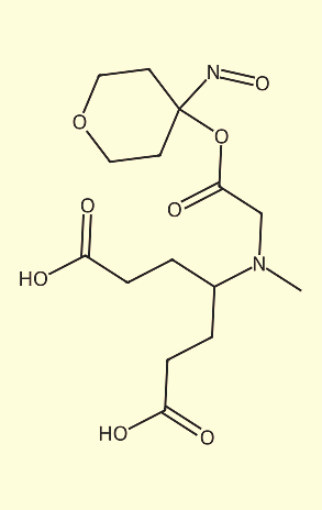 CN(CC(=O)OC1(N=O)CCOCC1)C(CCC(=O)O)CCC(=O)O